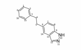 c1ccc(CCc2ccc3[nH]ncc3c2)cc1